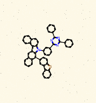 c1ccc(-c2nc(-c3ccccc3)nc(-c3cccc(-n4c5ccc6ccccc6c5c5cc6ccccc6c(-c6ccc7sc8ccccc8c7c6)c54)c3)n2)cc1